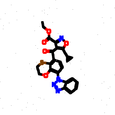 CCOC(=O)c1noc(C2CC2)c1C(=O)c1ccc(-n2nnc3ccccc32)c2c1SCCO2